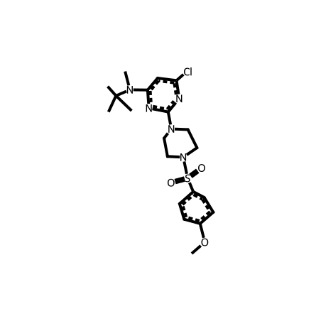 COc1ccc(S(=O)(=O)N2CCN(c3nc(Cl)cc(N(C)C(C)(C)C)n3)CC2)cc1